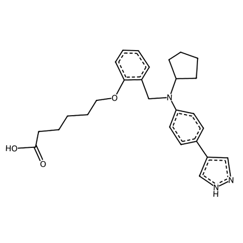 O=C(O)CCCCCOc1ccccc1CN(c1ccc(-c2cn[nH]c2)cc1)C1CCCC1